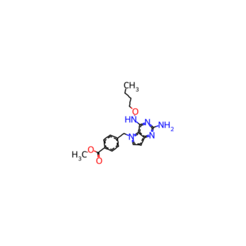 CCCCONc1nc(N)nc2ccn(Cc3ccc(C(=O)OC)cc3)c12